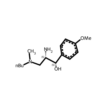 CCCCN(C)C[C@H](N)[C@@H](O)c1ccc(OC)cc1